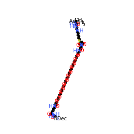 CCCCCCCCCCCC(=O)NC(CCCCNC(=O)CCOCCOCCOCCOCCOCCOCCOCCOCCOCCOCCOCCOCCNC(=O)CCN1C(=O)C=C(SCCCCCCNCCNC(=O)NC(C)(C)C(C)=O)C1=O)C(N)=O